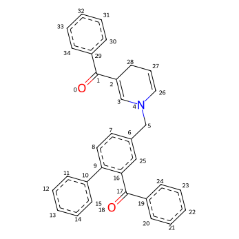 O=C(C1=CN(Cc2ccc(-c3ccccc3)c(C(=O)c3ccccc3)c2)C=CC1)c1ccccc1